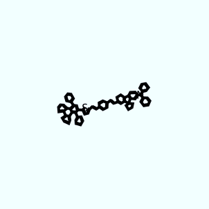 C1=C(/C=C/c2ccc(/C=C/c3ccc(-c4cc(-c5ccccc5)c5c6ccccc6c6ccccc6c5c4-c4ccccc4)s3)cc2)CCC2=C1C1(CCCC1)c1cc(N(c3ccccc3)c3ccccc3)ccc12